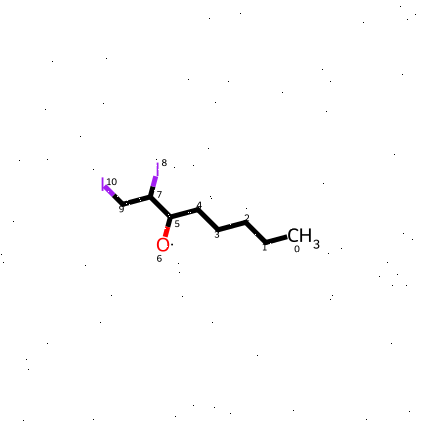 CCCCCC([O])C(I)CI